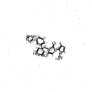 CCCCc1cn(-c2c(C)ccn2C(C)C)c(=O)n1CC1(c2cccc(-c3nnn[nH]3)c2)C=CNC=C1